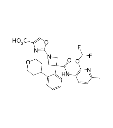 Cc1ccc(NC(=O)C2(c3ccccc3C3CCOCC3)CN(c3nc(C(=O)O)co3)C2)c(OC(F)F)n1